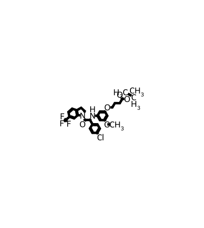 COc1cc(NC(C(=O)N2CCc3ccc(C(F)(F)F)cc32)c2ccc(Cl)cc2)cc(OCCCC(=O)OC(C)(C)C)c1